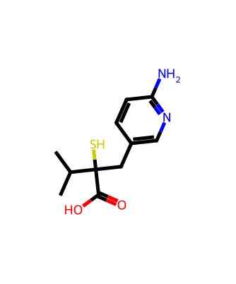 CC(C)C(S)(Cc1ccc(N)nc1)C(=O)O